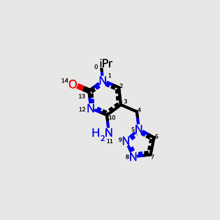 CC(C)n1cc(Cn2ccnn2)c(N)nc1=O